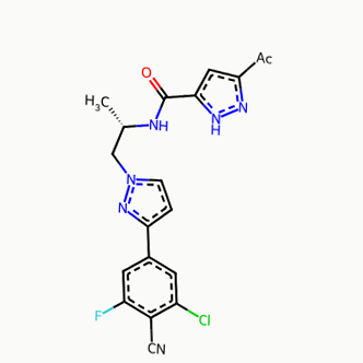 CC(=O)c1cc(C(=O)N[C@@H](C)Cn2ccc(-c3cc(F)c(C#N)c(Cl)c3)n2)[nH]n1